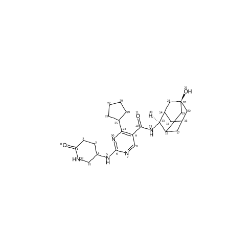 O=C1CCC(Nc2ncc(C(=O)N[C@H]3C4CC5CC3C[C@@](O)(C5)C4)c(C3CCCC3)n2)CN1